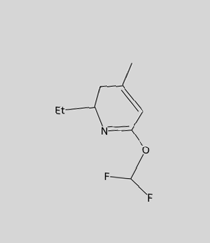 CCC1CC(C)=CC(OC(F)F)=N1